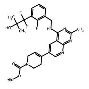 Cc1nc(NCc2cccc(C(F)(F)C(C)(C)O)c2F)c2cc(C3=CCN(C(=O)OC(C)(C)C)CC3)cnc2n1